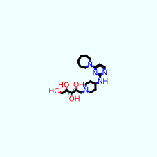 OC[C@@H](O)[C@@H](O)[C@@H](O)CN1CCC(Nc2nccc(N3CCCCCC3)n2)CC1